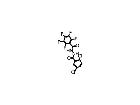 O=C(NNC(=O)c1c(F)c(F)c(F)c(F)c1F)c1cc(Cl)ccc1Cl